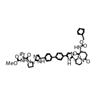 COC(=O)N[C@H](C(=O)N1CCC[C@H]1c1ncc(-c2ccc(-c3ccc(-c4cnc([C@@H]5CCCN6C(=O)CC[C@H](NC(=O)OCc7ccccc7)C(=O)N56)[nH]4)cc3)cc2)[nH]1)C(C)C